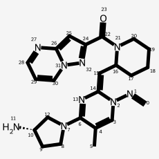 C=NN1C=C(C)C(N2CC[C@H](N)C2)=N/C1=C/C1CCCCN1C(=O)c1cc2ncccn2n1